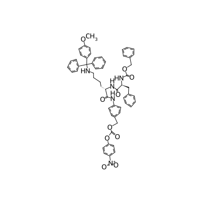 COc1ccc(C(NCCCC[C@H](NC(=O)[C@H](Cc2ccccc2)NC(=O)OCc2ccccc2)C(=O)Nc2ccc(COC(=O)Oc3ccc([N+](=O)[O-])cc3)cc2)(c2ccccc2)c2ccccc2)cc1